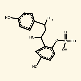 CC(CC(O)c1cc(O)ccc1OP(=O)(O)O)c1ccc(O)cc1